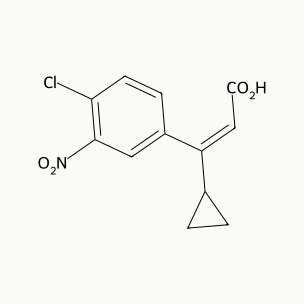 O=C(O)/C=C(\c1ccc(Cl)c([N+](=O)[O-])c1)C1CC1